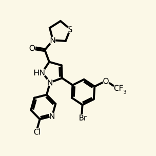 O=C(C1C=C(c2cc(Br)cc(OC(F)(F)F)c2)N(c2ccc(Cl)nc2)N1)N1CCSC1